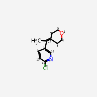 CC(=C1CCOCC1)c1ccc(Cl)nc1